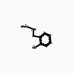 CCCCCNCc1ccccc1O